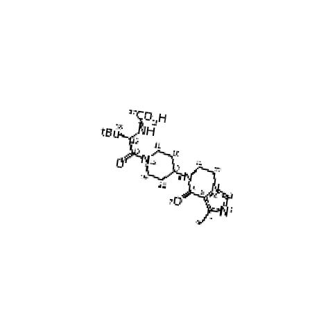 Cc1ncn2c1C(=O)N(C1CCN(C(=O)[C@H](NC(=O)O)C(C)(C)C)CC1)CC2